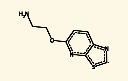 NCCOc1ccc2n[c]sc2n1